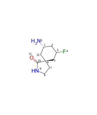 N[C@@H]1CC(F)C[C@]2(CCNC2=O)C1